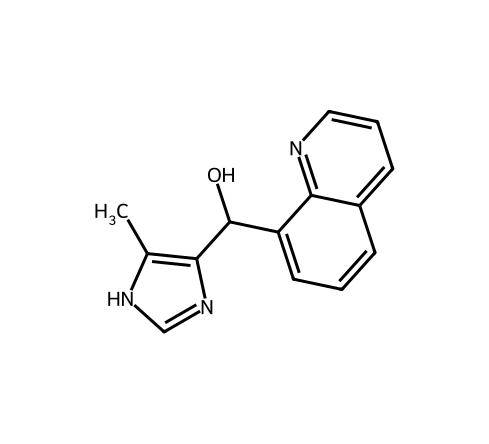 Cc1[nH]cnc1C(O)c1cccc2cccnc12